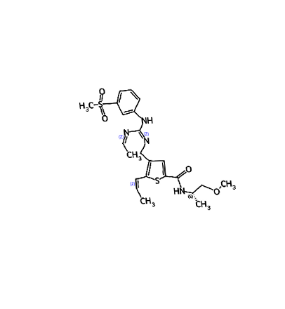 C/C=C\c1sc(C(=O)N[C@@H](C)COC)cc1C/N=C(\N=C/C)Nc1cccc(S(C)(=O)=O)c1